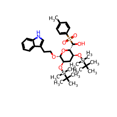 Cc1ccc(S(=O)(=O)C(O)[C@H]2O[C@@H](OCCc3c[nH]c4ccccc34)[C@H](O[Si](C)(C)C(C)(C)C)C[C@@H]2O[Si](C)(C)C(C)(C)C)cc1